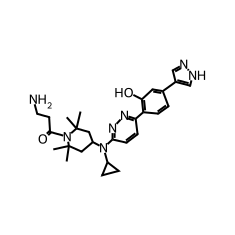 CC1(C)CC(N(c2ccc(-c3ccc(-c4cn[nH]c4)cc3O)nn2)C2CC2)CC(C)(C)N1C(=O)CCN